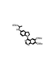 CCCCCCC(C)Nc1ccc2c(c1)CCN2c1ncnc2cc(OC)c(OC)cc12